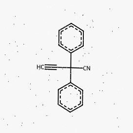 C#CC(C#N)(c1ccccc1)c1ccccc1